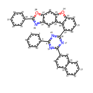 c1ccc(-c2nc(-c3ccc4ccccc4c3)nc(-c3cccc4oc5cc6oc(-c7ccccc7)nc6cc5c34)n2)cc1